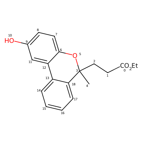 CCOC(=O)CCC1(C)Oc2ccc(O)cc2-c2ccccc21